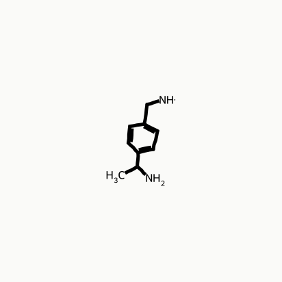 CC(N)c1ccc(C[NH])cc1